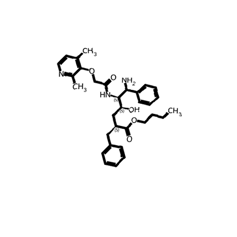 CCCCOC(=O)[C@@H](Cc1ccccc1)C[C@H](O)[C@@H](NC(=O)COc1c(C)ccnc1C)C(N)c1ccccc1